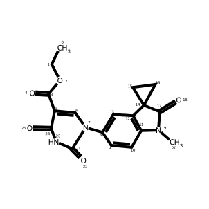 CCOC(=O)c1cn(-c2ccc3c(c2)C2(CC2)C(=O)N3C)c(=O)[nH]c1=O